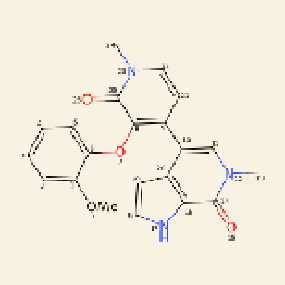 COc1ccccc1Oc1c(-c2cn(C)c(=O)c3[nH]ccc23)ccn(C)c1=O